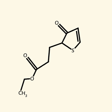 CCOC(=O)CCC1SC=CC1=O